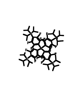 CC(C)[Si](c1c(F)c(F)c([B-](c2c(F)c(F)c([Si](C(C)C)(C(C)C)C(C)C)c(F)c2F)(c2c(F)c(F)c([Si](C(C)C)(C(C)C)C(C)C)c(F)c2F)c2c(F)c(F)c([Si](C(C)C)(C(C)C)C(C)C)c(F)c2F)c(F)c1F)(C(C)C)C(C)C